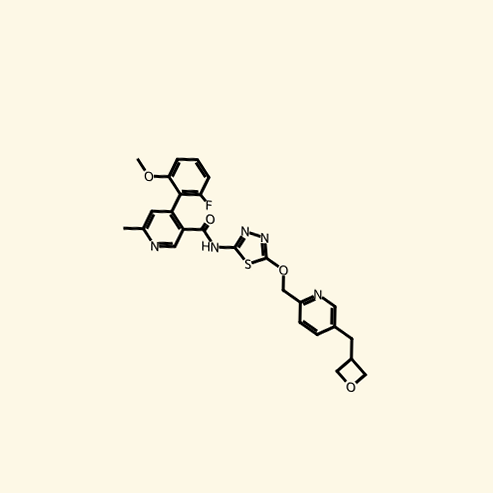 COc1cccc(F)c1-c1cc(C)ncc1C(=O)Nc1nnc(OCc2ccc(CC3COC3)cn2)s1